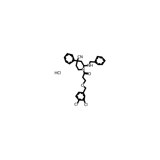 Cl.N#CC1(c2ccccc2)CCN(C(=O)CCOCc2ccc(Cl)c(Cl)c2)C(NCc2ccccc2)C1